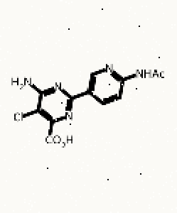 CC(=O)Nc1ccc(-c2nc(N)c(Cl)c(C(=O)O)n2)cn1